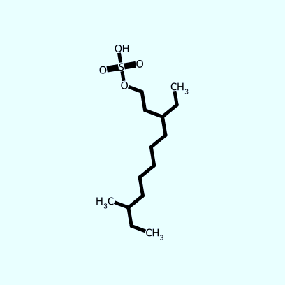 CCC(C)CCCCCC(CC)CCOS(=O)(=O)O